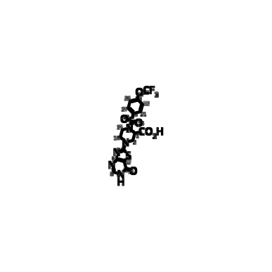 O=C(O)C1CN(c2nc3nc[nH]c(=O)c3s2)CCN1S(=O)(=O)c1ccc(OC(F)(F)F)cc1